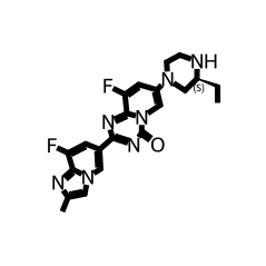 CC[C@H]1CN(c2cc(F)c3nc(-c4cc(F)c5nc(C)cn5c4)nc(=O)n3c2)CCN1